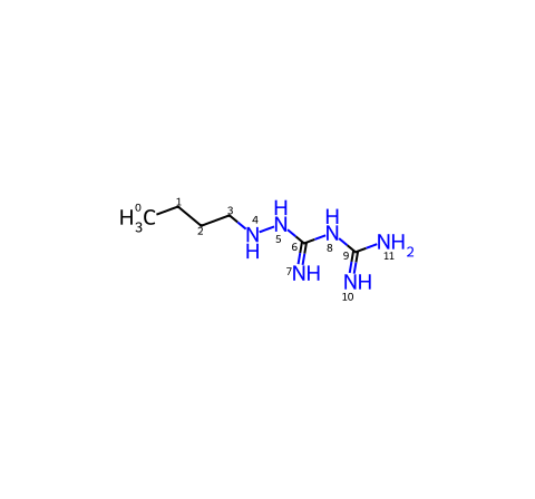 CCCCNNC(=N)NC(=N)N